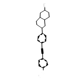 CCC1CCC2CC(c3ccc(C#Cc4ccc(OC(F)(F)F)cc4)cc3)CCC2C1